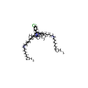 CCCCCCCC/C=C\CCCCCCCCC(CCCCCCCC/C=C\CCCCCCCC)(c1ccccc1)[N+](C)(C)C.[Cl-]